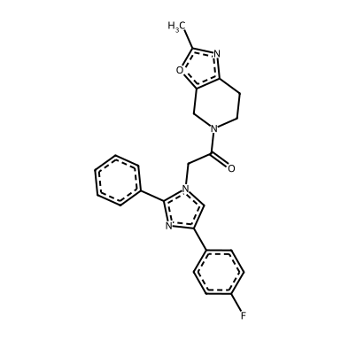 Cc1nc2c(o1)CN(C(=O)Cn1cc(-c3ccc(F)cc3)nc1-c1ccccc1)CC2